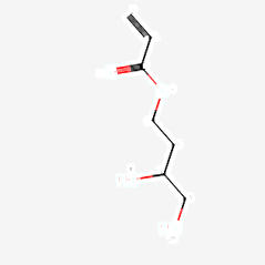 C=CC(=O)OCCC(O)CO